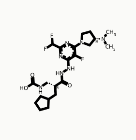 CN(C)[C@H]1CCN(c2nc(C(F)F)nc(NNC(=O)[C@@H](CNC(=O)O)CC3CCCC3)c2F)C1